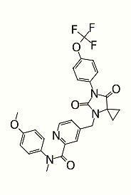 COc1ccc(N(C)C(=O)c2cc(CN3C(=O)N(c4ccc(OC(F)(F)F)cc4)C(=O)C34CC4)ccn2)cc1